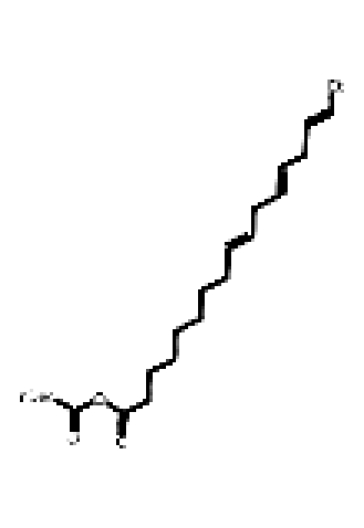 CCC=CCC=CCC=CCCCCCCCC(=O)OC(=O)CCCCCCCCCC